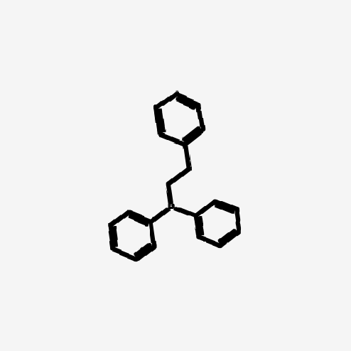 [c]1ccc(CCP(c2ccccc2)c2ccccc2)cc1